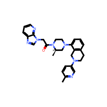 Cc1ccc(N2CCc3cccc(N4CCN(C(=O)Cn5cnc6cccnc65)[C@H](C)C4)c3C2)cn1